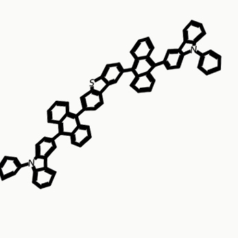 c1ccc(-n2c3ccccc3c3cc(-c4c5ccccc5c(-c5ccc6c(c5)sc5ccc(-c7c8ccccc8c(-c8ccc9c(c8)c8ccccc8n9-c8ccccc8)c8ccccc78)cc56)c5ccccc45)ccc32)cc1